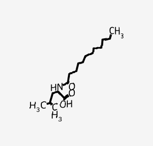 CCCCCCCCCCCC(=O)NC(CC(C)C)C(=O)O